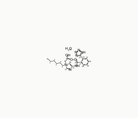 CCCCCC[N+]1(CC(=O)O)C=NC(NC(=O)c2ccccc2-c2nnn[nH]2)=C1.O